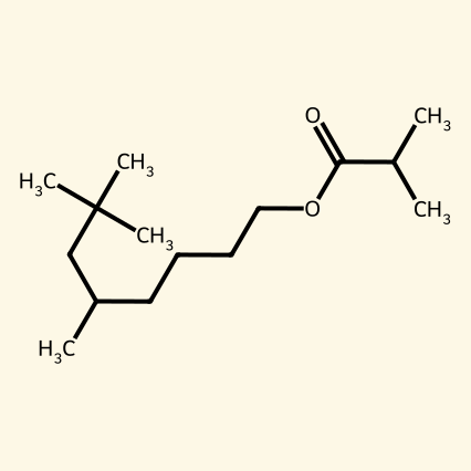 CC(CCCCOC(=O)C(C)C)CC(C)(C)C